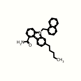 CCCCCc1c[c]c2c3c(C(N)=O)cccc3n(Cc3cccc4ccccc34)c2c1